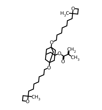 C=C(C)C(=O)OC12CC3CC(OCCCCCCCC4(C)CCO4)(CC(OCCCCCCCC4(C)CCO4)(C3)C1)C2